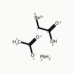 CC(=O)[O-].O=C(O)[CH2][Ba+2].[PbH2]